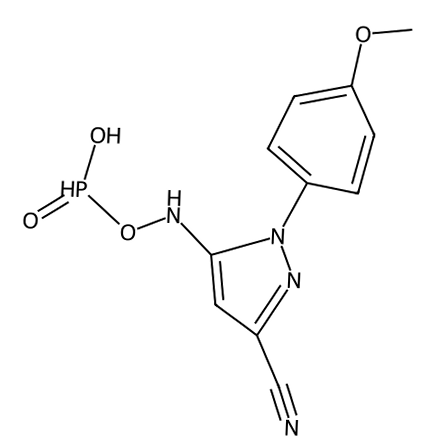 COc1ccc(-n2nc(C#N)cc2NO[PH](=O)O)cc1